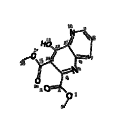 COC(=O)c1nc2cccnc2c(O)c1C(=O)OC